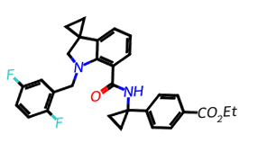 CCOC(=O)c1ccc(C2(NC(=O)c3cccc4c3N(Cc3cc(F)ccc3F)CC43CC3)CC2)cc1